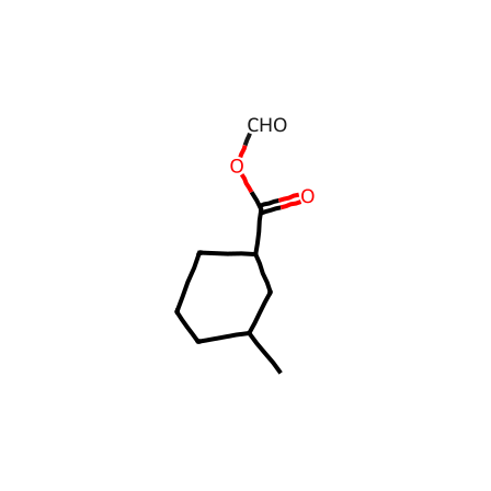 CC1CCCC(C(=O)OC=O)C1